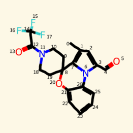 Cc1cc(C=O)n2c1C1(CCN(C(=O)C(F)(F)F)CC1)Oc1ccccc1-2